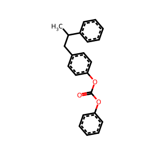 CC(Cc1ccc(OC(=O)Oc2ccccc2)cc1)c1ccccc1